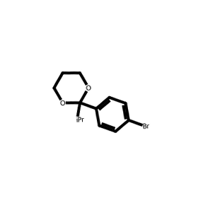 CC(C)C1(c2ccc(Br)cc2)OCCCO1